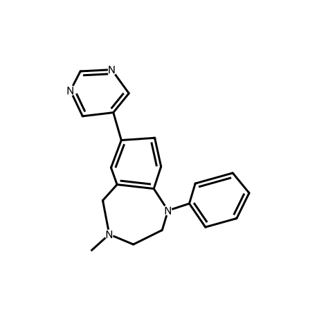 CN1CCN(c2ccccc2)c2ccc(-c3cncnc3)cc2C1